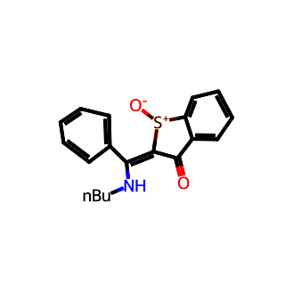 CCCCNC(=C1C(=O)c2ccccc2[S+]1[O-])c1ccccc1